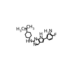 CN(C)C1CCC(Nc2ncc3cc(-c4ccc(F)c(N)c4)[nH]c3n2)CC1